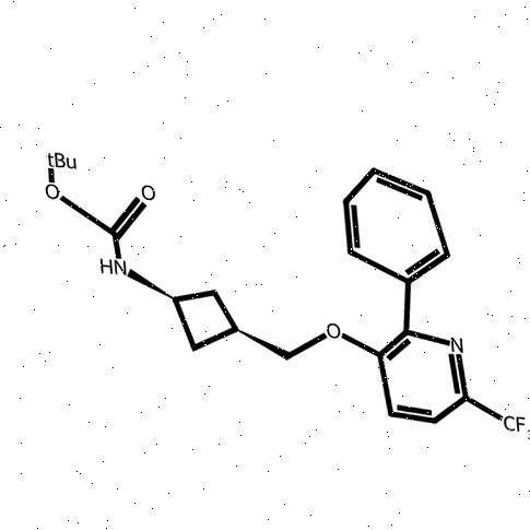 CC(C)(C)OC(=O)N[C@H]1C[C@@H](COc2ccc(C(F)(F)F)nc2-c2ccccc2)C1